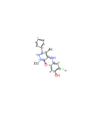 CCn1nc(-c2ccccc2)c(C(C)=O)c(Nc2ccc(O)c(F)c2)c1=O